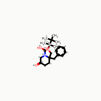 CC(C)(C)[Si](C)(C)OCC1(Cc2ccccc2)CCC(=O)CN1C(=O)O